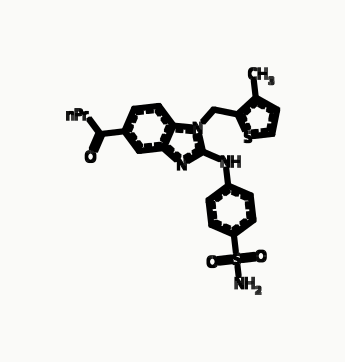 CCCC(=O)c1ccc2c(c1)nc(Nc1ccc(S(N)(=O)=O)cc1)n2Cc1sccc1C